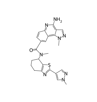 CN(C(=O)c1ccc2nc(N)c3cnn(C)c3c2c1)C1CCCc2nc(-c3cnn(C)c3)sc21